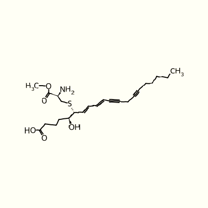 CCCCCC#CCC#CC=CC=C[C@@H](SC[C@H](N)C(=O)OC)[C@@H](O)CCCC(=O)O